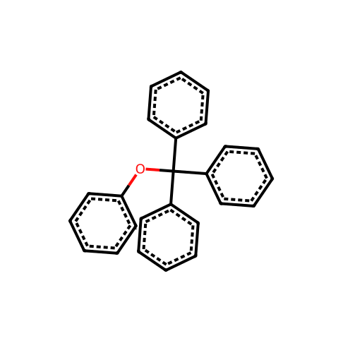 [c]1ccccc1OC(c1ccccc1)(c1ccccc1)c1ccccc1